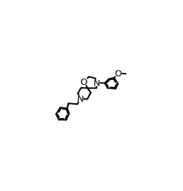 COc1cccc(N2CCOC3(CCN(CCc4ccccc4)CC3)C2)c1